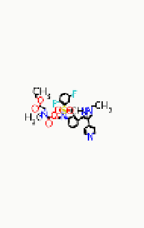 CCOC(=O)CN(C)C(=O)OCN(c1cccc(-c2nn(CC)cc2-c2ccncc2)c1C)S(=O)(=O)c1cc(F)ccc1F